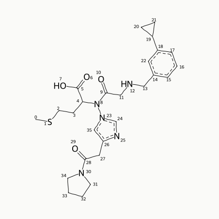 CSCCC(C(=O)O)N(C(=O)CNCc1cccc(C2CC2)c1)n1cnc(CC(=O)N2CCCC2)c1